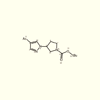 CC(=O)c1cnn(C2CCN(C(=O)OC(C)(C)C)C2)c1